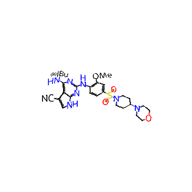 CC[C@@H](C)Nc1nc(Nc2ccc(S(=O)(=O)N3CCC(N4CCOCC4)CC3)cc2OC)nc2[nH]cc(C#N)c12